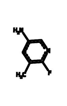 Cc1cc(N)cnc1F